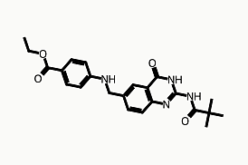 CCOC(=O)c1ccc(NCc2ccc3nc(NC(=O)C(C)(C)C)[nH]c(=O)c3c2)cc1